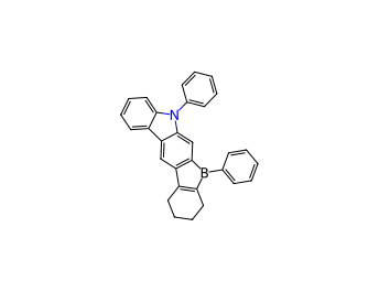 c1ccc(B2C3=C(CCCC3)c3cc4c5ccccc5n(-c5ccccc5)c4cc32)cc1